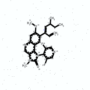 C=C/C(=C\C(C)CC)c1cc2c(cc1OC)ncc1c2n(-c2c(F)cncc2F)c(=O)n1C